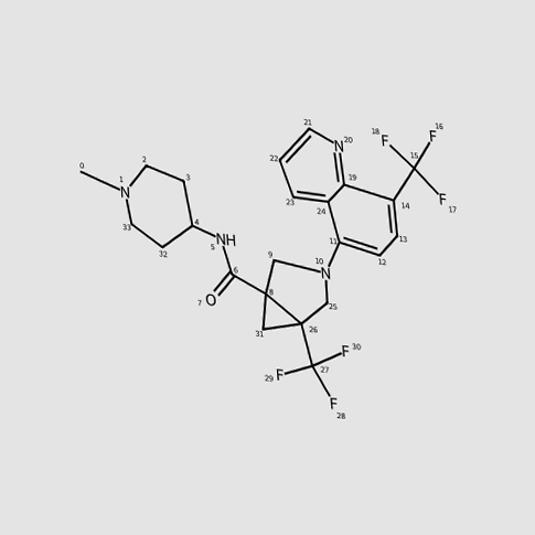 CN1CCC(NC(=O)C23CN(c4ccc(C(F)(F)F)c5ncccc45)CC2(C(F)(F)F)C3)CC1